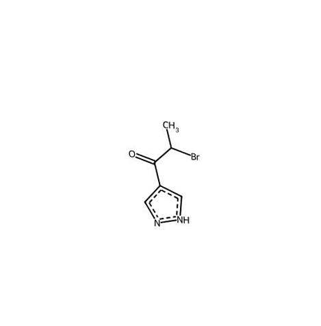 CC(Br)C(=O)c1cn[nH]c1